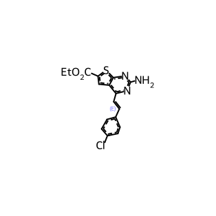 CCOC(=O)c1cc2c(/C=C/c3ccc(Cl)cc3)nc(N)nc2s1